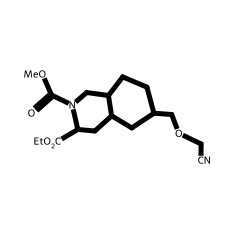 CCOC(=O)C1CC2CC(COCC#N)CCC2CN1C(=O)OC